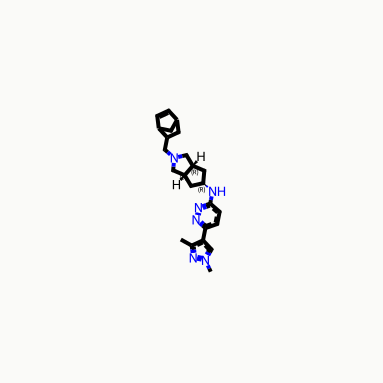 Cc1nn(C)cc1-c1ccc(N[C@@H]2C[C@@H]3CN(CC4CC5C=CC4C5)C[C@@H]3C2)nn1